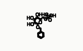 O=P(O)(O)OC[C@H]1OC(OCc2ccccc2)[C@@H](O)[C@@H](O)[C@@H]1O